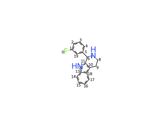 Fc1cccc(C2NCCc3c2[nH]c2ccccc32)c1